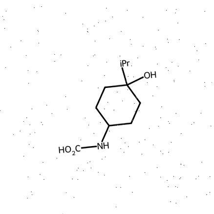 CC(C)C1(O)CCC(NC(=O)O)CC1